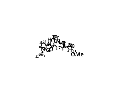 COCC12CC(n3cc4cc(C(=O)Nc5cccn([C@@H]6C[C@@H]6C)c5=O)c(OC(C)C)nc4n3)(CO1)C2